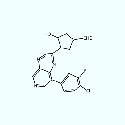 O=CN1CC(O)C(c2cnc3cncc(-c4ccc(Cl)c(F)c4)c3n2)C1